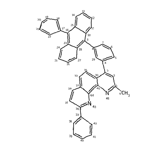 Cc1cc(-c2cccc(-c3c4ccccc4c(-c4ccccc4)c4ccccc34)c2)c2ccc3ccc(-c4ccccc4)nc3c2n1